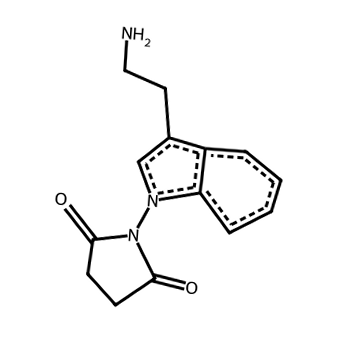 NCCc1cn(N2C(=O)CCC2=O)c2ccccc12